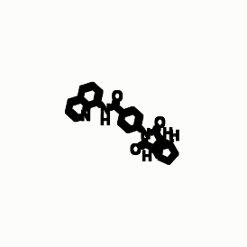 O=C(Nc1cccc2cccnc12)c1ccc(N2C(=O)[C@H]3[C@H]4CCC(C4)[C@H]3C2=O)cc1